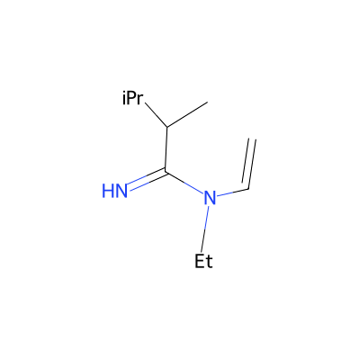 C=CN(CC)C(=N)C(C)C(C)C